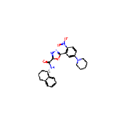 O=C(N[C@H]1CCCc2ccccc21)c1nnc(-c2cc(N3CCCCC3)ccc2[N+](=O)[O-])o1